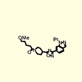 COCCCCC(=O)N1CCC(c2nc(-c3ccc4cnn(C(C)C)c4c3)no2)CC1